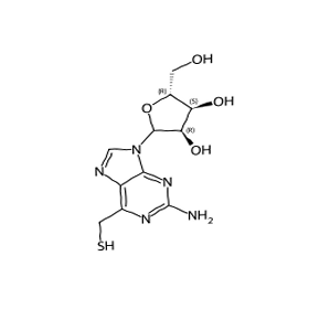 Nc1nc(CS)c2ncn(C3O[C@H](CO)[C@@H](O)[C@H]3O)c2n1